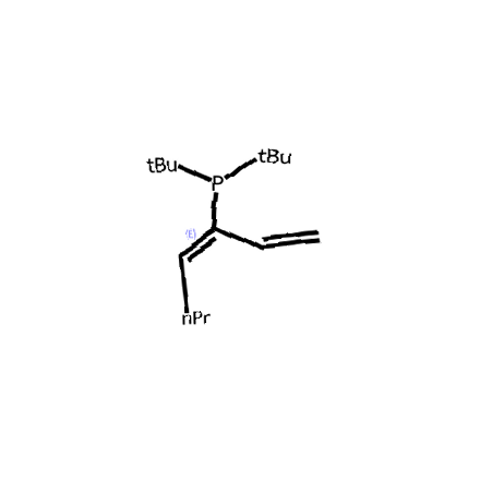 C=C/C(=C\CCC)P(C(C)(C)C)C(C)(C)C